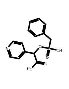 O=C(O)C(OP(=O)(O)Cc1ccccc1)c1ccncc1